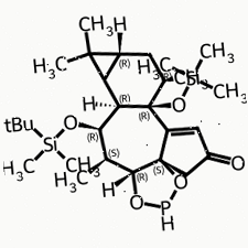 C[C@H]1[C@@H](O[Si](C)(C)C(C)(C)C)[C@H]2C3[C@@H](C[C@@H](C)[C@]2(O[Si](C)(C)C)C2=CC(=O)C[C@]24OPO[C@H]14)C3(C)C